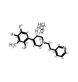 Cc1c(F)c(F)cc(C2=CCN(CCc3cccnc3)CC2)c1F.Cl.Cl.O